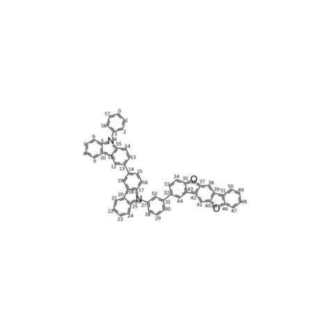 c1ccc(-n2c3ccccc3c3cc(-c4ccc5c(c4)c4ccccc4n5-c4cccc(-c5ccc6oc7cc8c(cc7c6c5)oc5ccccc58)c4)ccc32)cc1